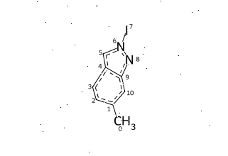 Cc1ccc2cn(I)nc2c1